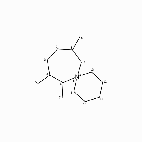 CC1CCC(C)C(C)[N+]2(CCCCC2)C1